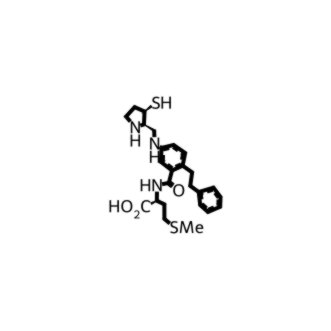 CSCC[C@H](NC(=O)c1cc(NC[C@H]2NCC[C@H]2S)ccc1CCc1ccccc1)C(=O)O